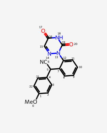 COc1ccc(C(C#N)c2ccccc2-n2ncc(=O)[nH]c2=O)cc1